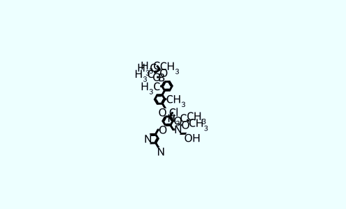 Cc1c(COc2cc(OCc3cncc(C#N)c3)c(CN(CCO)C(=O)OC(C)(C)C)cc2Cl)cccc1-c1cccc(B2OC(C)(C)C(C)(C)O2)c1C